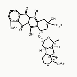 COc1cccc2c1C(=O)C1C(O)=C3C(=C(O)C1C2=O)C[C@@](O)(C(=O)O)C[C@@H]3O[C@H]1C[C@H]2[C@H](O[C@@H]3[C@@H](OC)OCCN32)[C@H](C)O1